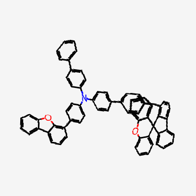 c1ccc(-c2ccc(N(c3ccc(-c4ccc(-c5cccc6c5C5(c7ccccc7Oc7ccccc75)c5ccccc5-6)cc4)cc3)c3ccc(-c4cccc5c4oc4ccccc45)cc3)cc2)cc1